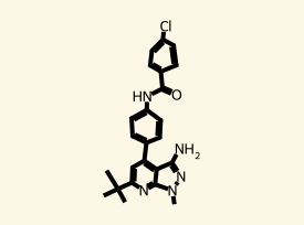 Cn1nc(N)c2c(-c3ccc(NC(=O)c4ccc(Cl)cc4)cc3)cc(C(C)(C)C)nc21